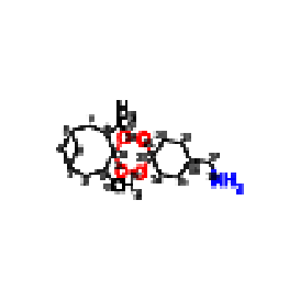 CC1CC2CC(C2)CC(C)C12OOC1(CCC(CN)CC1)OO2